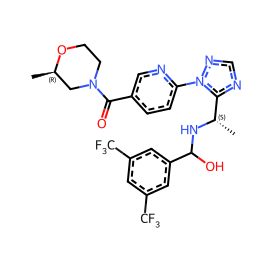 C[C@@H]1CN(C(=O)c2ccc(-n3ncnc3[C@H](C)NC(O)c3cc(C(F)(F)F)cc(C(F)(F)F)c3)nc2)CCO1